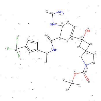 C=C(NC(C)C1=C=C(C(F)(F)F)C=C1)C1CC(C2(O)CC3(CCN(C(=O)OC(C)(C)C)C3)C2)=CCC1NC(C)N